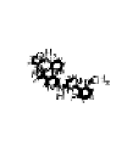 COc1cccc(F)c1-c1nccc(Nc2cc(N3CCC[C@H](N)C3)c(-c3cnn([C@@H]4CCOC4)c3)cn2)n1